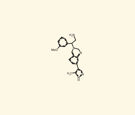 COc1cccc(C(CN)N2C=c3ccc(-c4cn[nH]c4C)cc3=NC2)c1